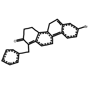 O=C1CCc2c3c(ccc2=C1Cc1ccccc1)=c1ccc(Br)cc1=CC3